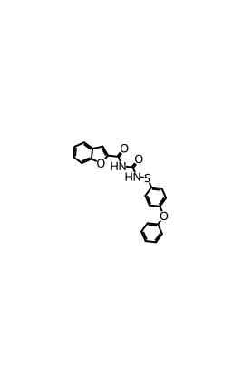 O=C(NSc1ccc(Oc2ccccc2)cc1)NC(=O)c1cc2ccccc2o1